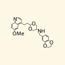 COc1ccc2nccc(CCC3OCC(NCc4ccc5c(c4)OCCO5)CO3)c2c1